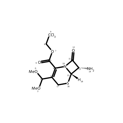 COC(OC)C1=C(C(=O)OCC(Cl)(Cl)Cl)N2C(=O)[C@H](N)[C@@H]2SC1